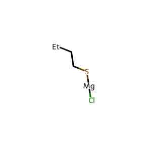 CCCC[S][Mg][Cl]